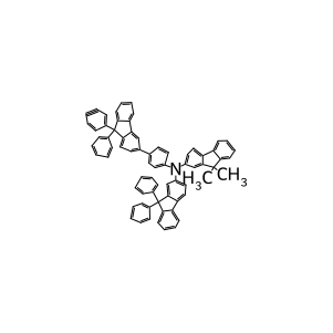 CC1(C)c2ccccc2-c2ccc(N(c3ccc(-c4ccc5c(c4)-c4ccccc4C5(c4cc#ccc4)c4ccccc4)cc3)c3ccc4c(c3)C(c3ccccc3)(c3ccccc3)c3ccccc3-4)cc21